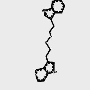 c1ccc2c(CCSSCCc3c[nH]c4ccccc34)c[nH]c2c1